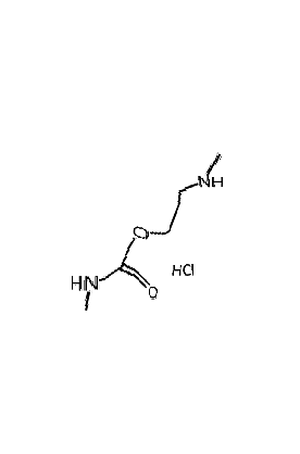 CNCCOC(=O)NC.Cl